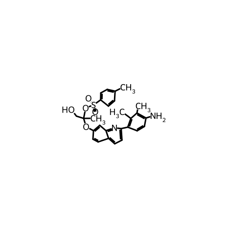 Cc1ccc(S(=O)(=O)OC(C)(CO)Oc2ccc3ccc(-c4ccc(N)c(C)c4C)nc3c2)cc1